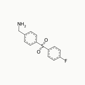 NCc1ccc(S(=O)(=O)c2ccc(F)cc2)cc1